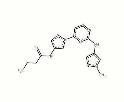 Cn1cc(Nc2nccc(-n3cc(NC(=O)CCC(F)(F)F)cn3)n2)cn1